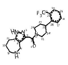 O=C(c1n[nH]c2c1CNCCC2)N1CCC(c2ccccc2C(F)(F)F)CC1